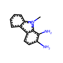 Cn1c2ccccc2c2ccc(N)c(N)c21